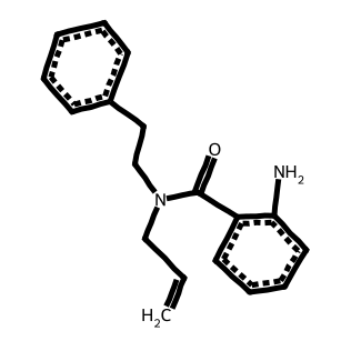 C=CCN(CCc1ccccc1)C(=O)c1ccccc1N